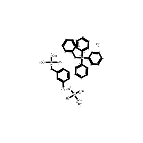 CCCCCCCC[PH](CCCCCCCC)(CCCCCCCC)Cc1cccc(C(F)(F)F)c1.CCCC[P+](CCCC)(CCCC)CCCC.[Br-].[Cl-].c1ccc(C[P+](c2ccccc2)(c2ccccc2)c2ccccc2)cc1